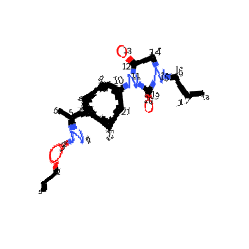 C=CCON=C(C)c1ccc(N2C(=O)CN(CC=C)C2=O)cc1